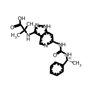 C[C@@H](NC(=O)Nc1cc2[nH]nc(NC(C)(C)C(=O)O)c2cn1)c1ccccc1